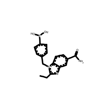 CCc1nc2cc(C(N)=O)ccc2n1Cc1ccc(B(O)O)cc1